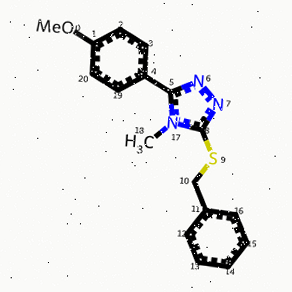 COc1ccc(-c2nnc(SCc3ccccc3)n2C)cc1